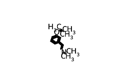 CN(C)CCc1cccc(OC(C)(C)C)c1